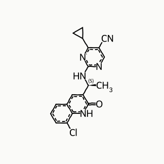 C[C@H](Nc1ncc(C#N)c(C2CC2)n1)c1cc2cccc(Cl)c2[nH]c1=O